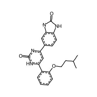 CC(C)CCOc1ccccc1-c1cc(-c2ccc3c(c2)[N]C(=O)N3)nc(=O)[nH]1